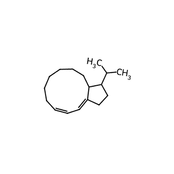 CC(C)C1CCC2=CC=CCCCCCCC21